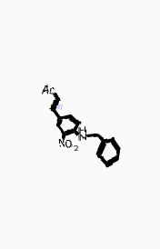 CC(=O)/C=C/c1ccc(NCc2ccccc2)c([N+](=O)[O-])c1